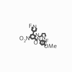 COc1ccc(-n2c(C3CCCN3)nc3c(-c4ccnc(F)c4)cc([N+](=O)[O-])cc3c2=O)cc1F